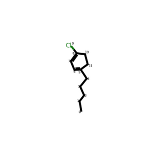 CCCCCC1=CC=C(Cl)CC1